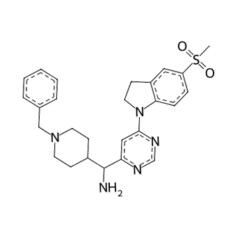 CS(=O)(=O)c1ccc2c(c1)CCN2c1cc(C(N)C2CCN(Cc3ccccc3)CC2)ncn1